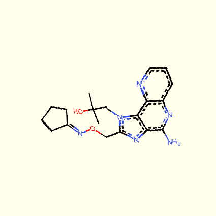 CC(C)(O)Cn1c(CON=C2CCCC2)nc2c(N)nc3cccnc3c21